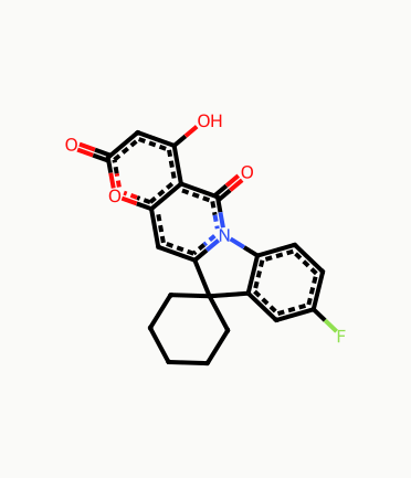 O=c1cc(O)c2c(=O)n3c(cc2o1)C1(CCCCC1)c1cc(F)ccc1-3